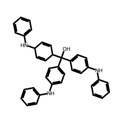 OC(c1ccc(Nc2ccccc2)cc1)(c1ccc(Nc2ccccc2)cc1)C1C=CC(Nc2ccccc2)C=C1